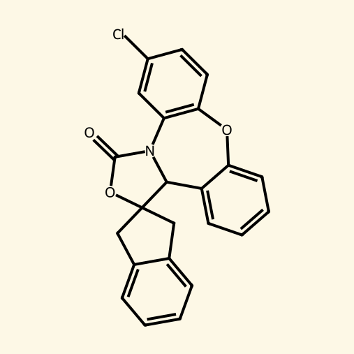 O=C1OC2(Cc3ccccc3C2)C2c3ccccc3Oc3ccc(Cl)cc3N12